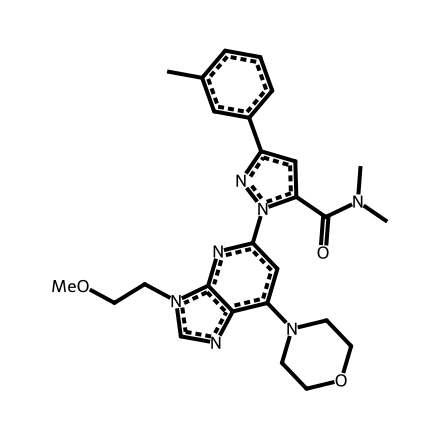 COCCn1cnc2c(N3CCOCC3)cc(-n3nc(-c4cccc(C)c4)cc3C(=O)N(C)C)nc21